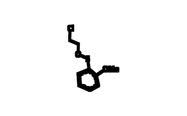 COc1ccccc1SOCCCl